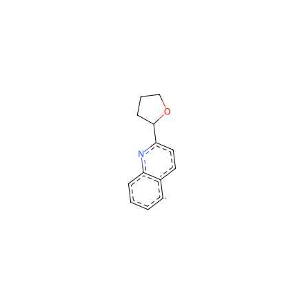 [c]1cccc2nc(C3CCCO3)ccc12